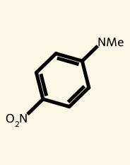 [CH2]Nc1ccc([N+](=O)[O-])cc1